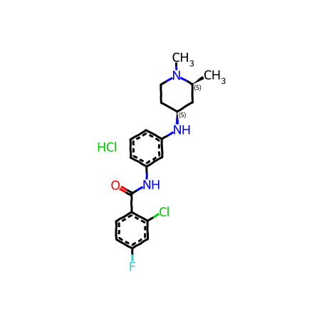 C[C@H]1C[C@@H](Nc2cccc(NC(=O)c3ccc(F)cc3Cl)c2)CCN1C.Cl